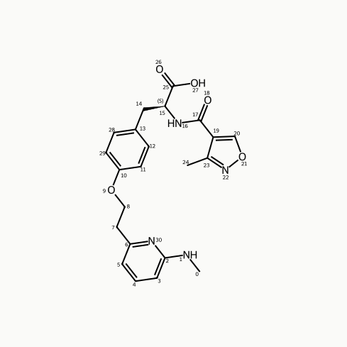 CNc1cccc(CCOc2ccc(C[C@H](NC(=O)c3conc3C)C(=O)O)cc2)n1